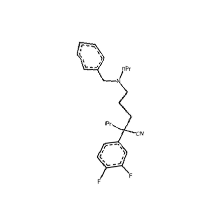 CCCN(CCCC(C#N)(c1ccc(F)c(F)c1)C(C)C)Cc1ccccc1